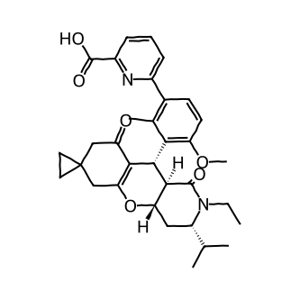 CCN1C(=O)[C@H]2[C@H](C[C@H]1C(C)C)OC1=C(C(=O)CC3(CC3)C1)[C@@H]2c1c(OC)ccc(-c2cccc(C(=O)O)n2)c1C